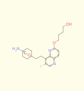 NC12CCC(CCc3c(F)cnc4ccc(OCCCCO)nc34)(CC1)OC2